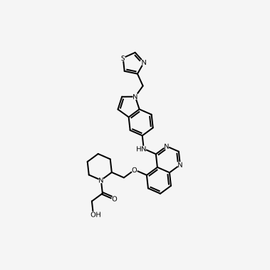 O=C(CO)N1CCCCC1COc1cccc2ncnc(Nc3ccc4c(ccn4Cc4cscn4)c3)c12